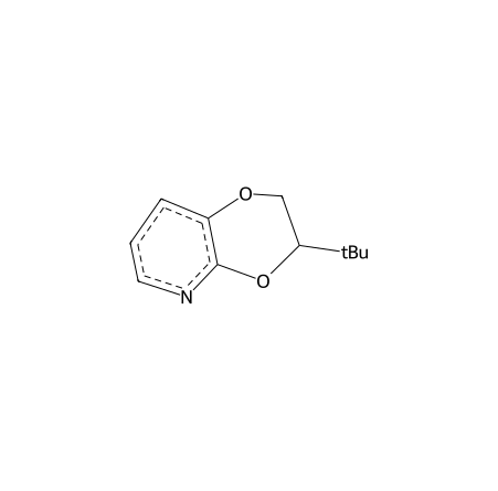 CC(C)(C)C1COc2cccnc2O1